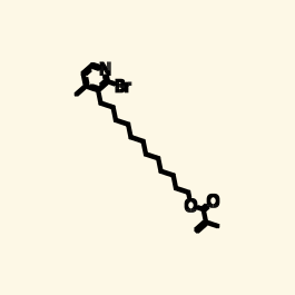 C=C(C)C(=O)OCCCCCCCCCCCCc1c(C)ccnc1Br